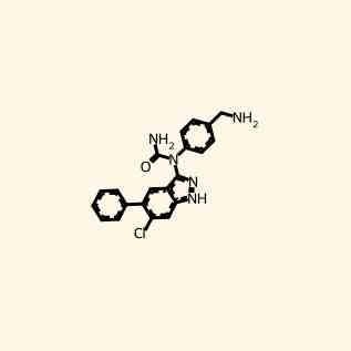 NCc1ccc(N(C(N)=O)c2n[nH]c3cc(Cl)c(-c4ccccc4)cc23)cc1